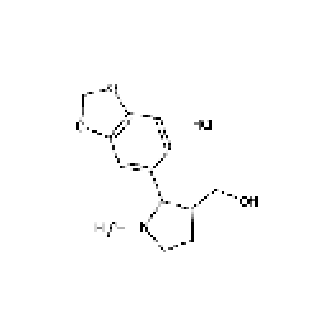 CN1CCC(CO)C1c1ccc2c(c1)OCO2.Cl